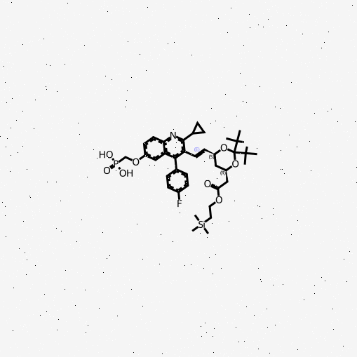 CC(C)(C)C1(C(C)(C)C)O[C@@H](CC(=O)OCC[Si](C)(C)C)C[C@@H](/C=C/c2c(C3CC3)nc3ccc(OCP(=O)(O)O)cc3c2-c2ccc(F)cc2)O1